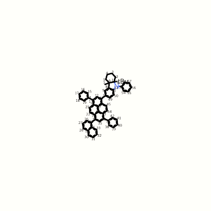 CC(C)(C)C12CCCCC1(C)c1cc(-c3cc(-c4ccccc4)c4ccc5c(-c6cccc7ccccc67)cc(-c6ccccc6)c6ccc3c4c65)ccc1N2c1ccccc1